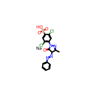 CC1=NN(c2cc(Cl)c(S(=O)(=O)O)cc2Cl)C(=O)C1N=Nc1ccccc1.[Na]